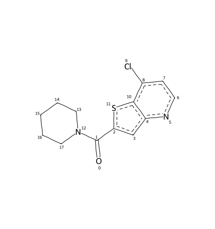 O=C(c1cc2nccc(Cl)c2s1)N1CCCCC1